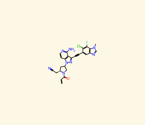 C=CC(=O)N1CC(n2nc(C#Cc3cc4ncn(C)c4c(F)c3Cl)c3c(N)nccc32)C[C@@H]1CC#N